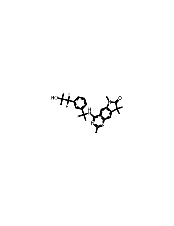 Cc1nc(NC(C)(I)c2cccc(C(F)(F)C(C)(C)O)c2)c2cc3c(cc2n1)C(C)(C)C(=O)N3C